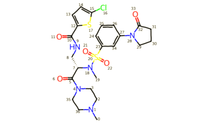 CN1CCN(C(=O)[C@H](CNC(=O)c2ccc(Cl)s2)N(C)S(=O)(=O)c2cccc(N3CCCC3=O)c2)CC1